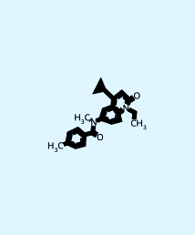 CCn1c(=O)cc(C2CC2)c2cc(N(C)C(=O)c3ccc(C)cc3)ccc21